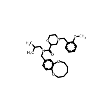 COc1ccccc1CN1CCOC(C(=O)N(Cc2ccc3c(c2)OCCCCCO3)CC(C)C)C1